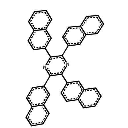 c1ccc2cc(-c3nc(-c4ccc5ccccc5c4)c(-c4ccc5ccccc5c4)nc3-c3ccc4ccccc4c3)ccc2c1